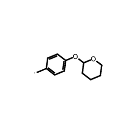 [CH2]c1ccc(OC2CCCCO2)cc1